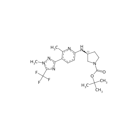 Cc1nc(N[C@H]2CCN(C(=O)OC(C)(C)C)C2)ccc1-c1nc(C(F)(F)F)n(C)n1